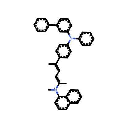 C/C(=C\C=C(/C)N(C)c1cccc2ccccc12)c1ccc(N(c2ccccc2)c2cccc(-c3ccccc3)c2)cc1